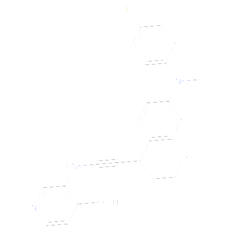 CN(c1ccc(F)cc1)c1ccc2c(c1)OCCC2C#CNc1cnccc1C(=O)O